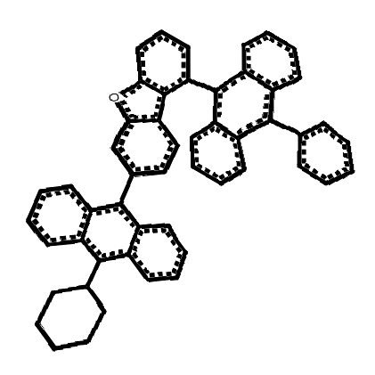 c1ccc(-c2c3ccccc3c(-c3cccc4oc5cc(-c6c7ccccc7c(C7CCCCC7)c7ccccc67)ccc5c34)c3ccccc23)cc1